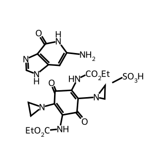 CCOC(=O)NC1=C(N2CC2)C(=O)C(NC(=O)OCC)=C(N2CC2)C1=O.CS(=O)(=O)O.Nc1cc2[nH]cnc2c(=O)[nH]1